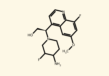 COc1cc(F)c2nccc([C@H](CO)N3CCC(N)C(F)C3)c2c1